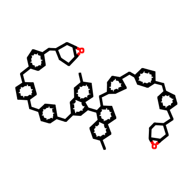 Cc1ccc2c(-c3c(Cc4ccc(Cc5ccc(Cc6ccc(CC7CCC8OC8C7)cc6)cc5)cc4)ccc4cc(C)ccc34)cc(Cc3ccc(Cc4ccc(Cc5ccc(CC6CCC7OC7C6)cc5)cc4)cc3)cc2c1